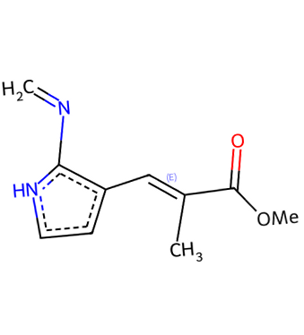 C=Nc1[nH]ccc1/C=C(\C)C(=O)OC